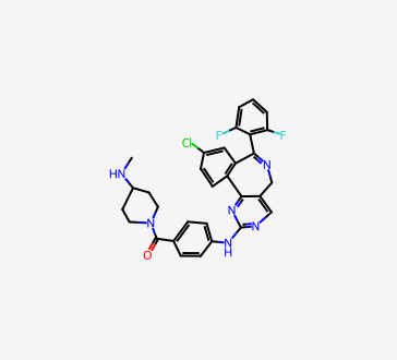 CNC1CCN(C(=O)c2ccc(Nc3ncc4c(n3)-c3ccc(Cl)cc3C(c3c(F)cccc3F)=NC4)cc2)CC1